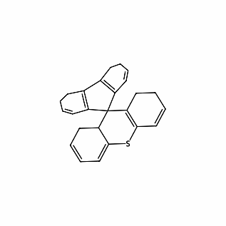 C1=CCC2C(=C1)SC1=C(CCC=C1)C21C2=C(CCC=C2)C2=C1C=CCC2